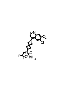 COc1cc2nncc(N3CC4(CC(N(CC(F)F)S(N)(=O)=O)C4)C3)c2cc1Cl